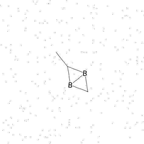 CC1B2CB21